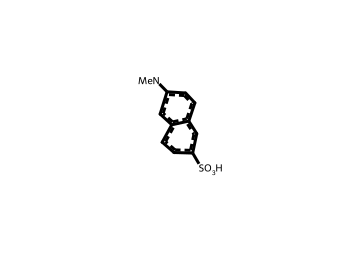 CNc1ccc2cc(S(=O)(=O)O)ccc2c1